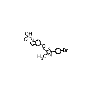 Cc1nc(-c2ccc(Br)cc2)sc1COc1ccc2c(ccn2CC(=O)O)c1